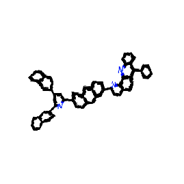 c1ccc(-c2c3ccccc3nc3c2ccc2ccc(-c4ccc5cc6cc(-c7cc(-c8ccc9ccccc9c8)cc(-c8ccc9ccccc9c8)n7)ccc6cc5c4)nc23)cc1